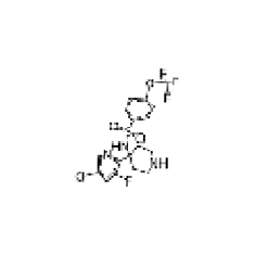 O=S(=O)(NC1(c2ncc(Cl)cc2F)CCNCC1)c1ccc(OC(F)(F)F)cc1